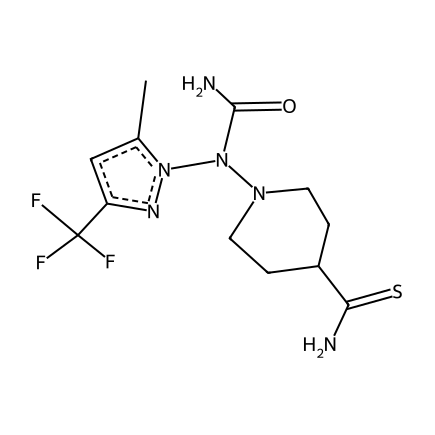 Cc1cc(C(F)(F)F)nn1N(C(N)=O)N1CCC(C(N)=S)CC1